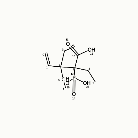 C=CC(CC)(CC)C(CC)(C(=O)O)P(=O)(O)O